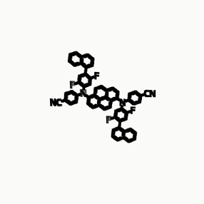 N#Cc1ccc(N(c2cc(F)c(-c3cccc4ccccc34)cc2F)c2ccc3ccc4c(N(c5ccc(C#N)cc5)c5cc(F)c(-c6cccc7ccccc67)cc5F)ccc5ccc2c3c54)cc1